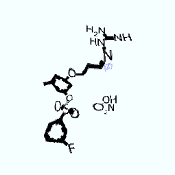 Cc1cc(OCC/C=N\NC(=N)N)cc(OS(=O)(=O)c2cccc(F)c2)c1.O=[N+]([O-])O